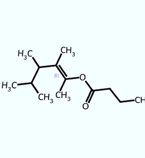 CCCC(=O)O/C(C)=C(\C)C(C)C(C)C